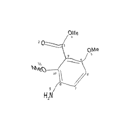 COC(=O)c1c(OC)ccc(N)c1OC